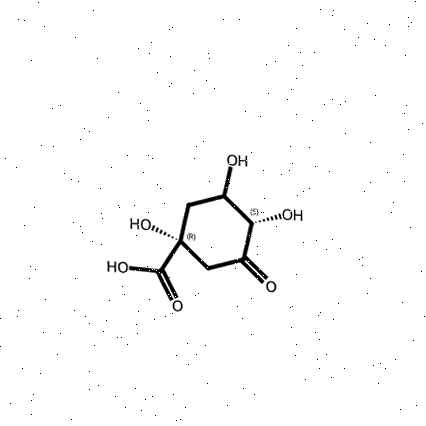 O=C1C[C@@](O)(C(=O)O)CC(O)[C@@H]1O